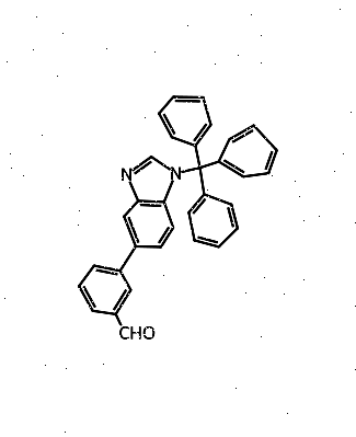 O=Cc1cccc(-c2ccc3c(c2)ncn3C(c2ccccc2)(c2ccccc2)c2ccccc2)c1